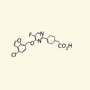 O=C(O)CC1CC=C(c2ncc(F)c(OCc3ccc(Cl)c4ccoc34)n2)CC1